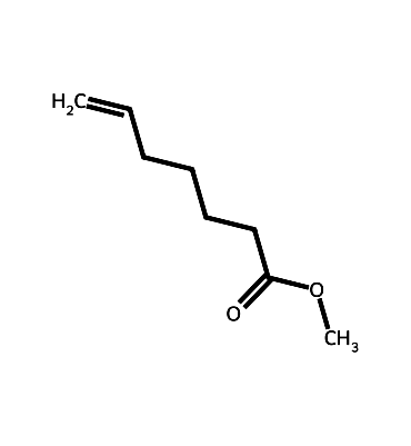 C=CCCCCC(=O)OC